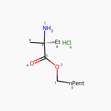 CCCCCCOC(=O)[C@@](C)(N)CC.Cl